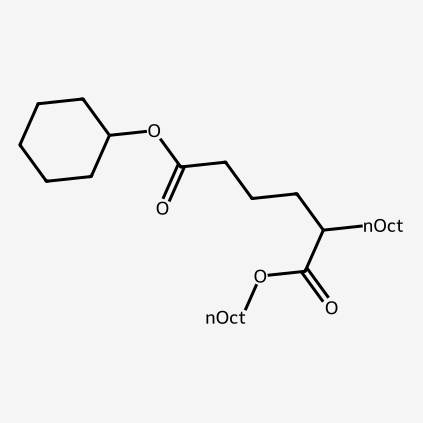 CCCCCCCCOC(=O)C(CCCCCCCC)CCCC(=O)OC1CCCCC1